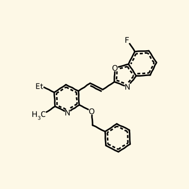 CCc1cc(C=Cc2nc3cccc(F)c3o2)c(OCc2ccccc2)nc1C